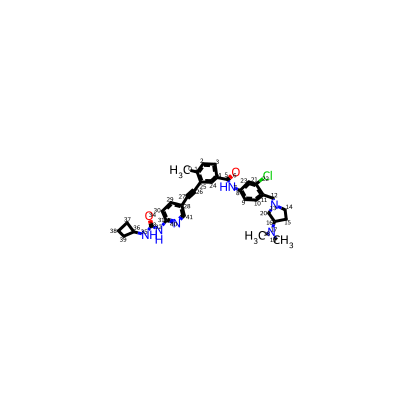 Cc1ccc(C(=O)Nc2ccc(CN3CCC(N(C)C)C3)c(Cl)c2)cc1C#Cc1ccc(NC(=O)NC2CCC2)nc1